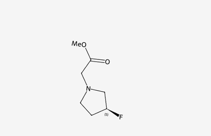 COC(=O)CN1CC[C@H](F)C1